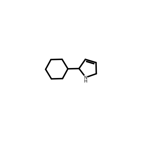 C1=CC(C2CCCCC2)NC1